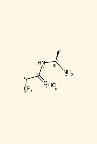 C[C@@H](N)NC(=O)CC(F)(F)F.Cl